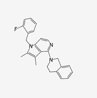 Cc1c(C)n(Cc2ccccc2F)c2ccnc(N3CCc4ccccc4C3)c12